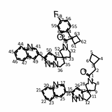 O=C(CC1CCC1)N1CCC2(CCn3nc(-c4cnc5ccccc5c4)cc32)C1.O=C(N1CCC2(CCn3nc(-c4cnc5ccccc5c4)cc32)C1)C1(c2ccc(F)cc2)CCC1